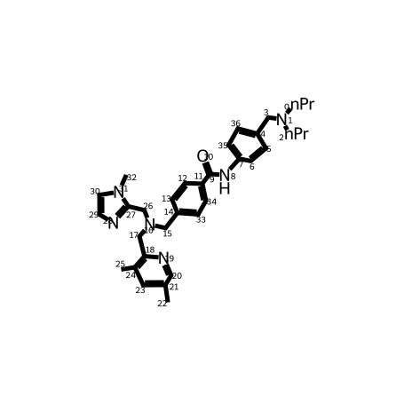 CCCN(CCC)Cc1ccc(NC(=O)c2ccc(CN(Cc3ncc(C)cc3C)Cc3nccn3C)cc2)cc1